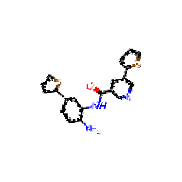 Nc1ccc(-c2cccs2)cc1NC(=O)c1cncc(-c2cccs2)c1